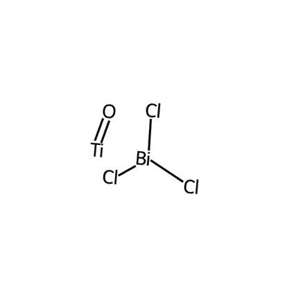 [Cl][Bi]([Cl])[Cl].[O]=[Ti]